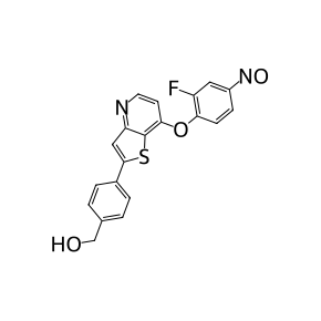 O=Nc1ccc(Oc2ccnc3cc(-c4ccc(CO)cc4)sc23)c(F)c1